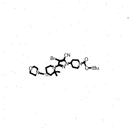 CC(C)(C)OC(=O)N1CCC(n2nc(N3CC[C@@H](CN4CCOCC4)CC3(C)C)c(Br)c2C#N)CC1